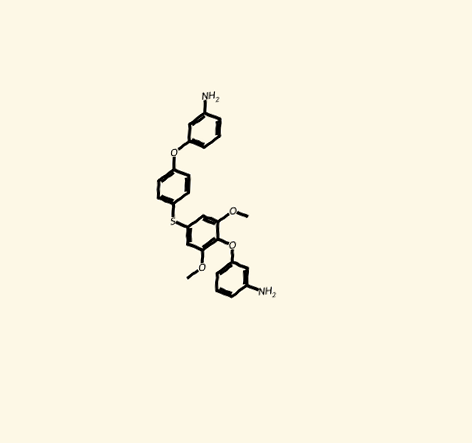 COc1cc(Sc2ccc(Oc3cccc(N)c3)cc2)cc(OC)c1Oc1cccc(N)c1